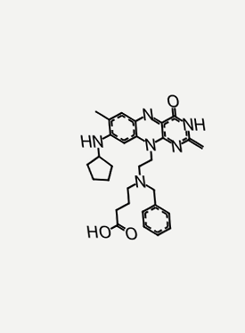 C=c1nc2c(c(=O)[nH]1)=Nc1cc(C)c(NC3CCCC3)cc1N2CCN(CCCC(=O)O)Cc1ccccc1